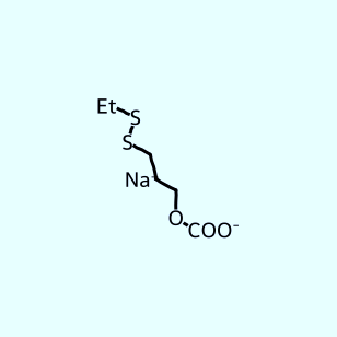 CCSSCCCOC(=O)[O-].[Na+]